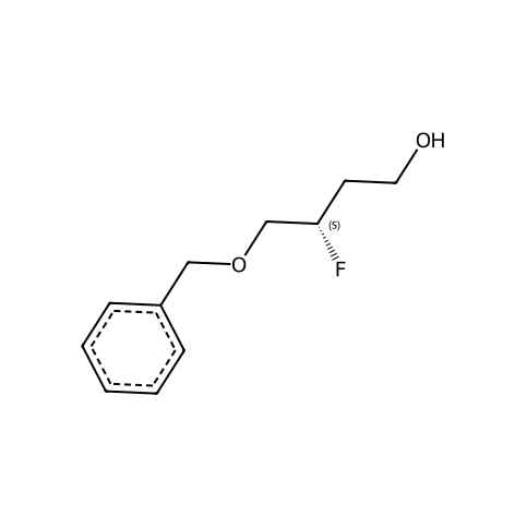 OCC[C@H](F)COCc1ccccc1